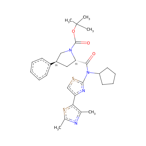 Cc1nc(C)c(-c2csc(N(C(=O)[C@@H]3C[C@@H](c4ccccc4)CN3C(=O)OC(C)(C)C)C3CCCC3)n2)s1